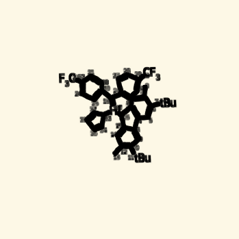 Cc1cc2c(cc1C(C)(C)C)-c1cc(C(C)(C)C)c(C)cc1[CH]2[Hf](=[C](c1ccc(C(F)(F)F)cc1)c1ccc(C(F)(F)F)cc1)[CH]1C=CC=C1